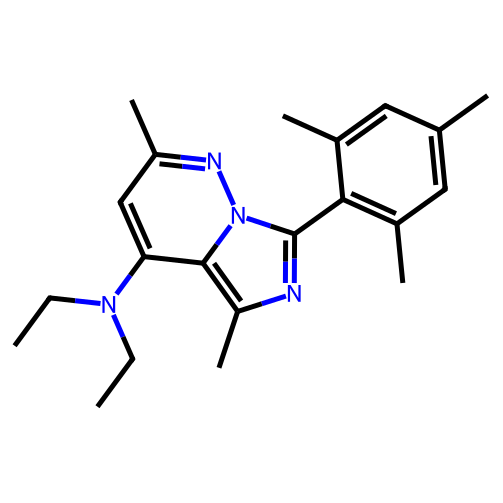 CCN(CC)c1cc(C)nn2c(-c3c(C)cc(C)cc3C)nc(C)c12